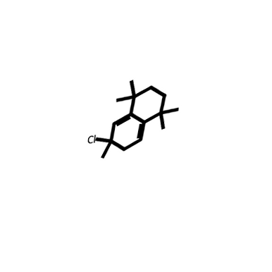 CC1(Cl)C=C2C(=CC1)C(C)(C)CCC2(C)C